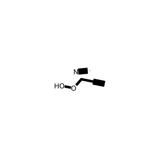 C#CCOO.[C]#N